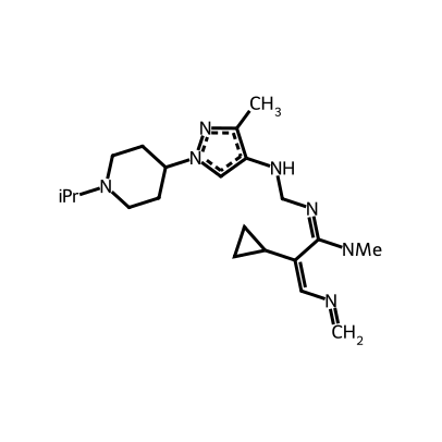 C=N/C=C(\C(=N/CNc1cn(C2CCN(C(C)C)CC2)nc1C)NC)C1CC1